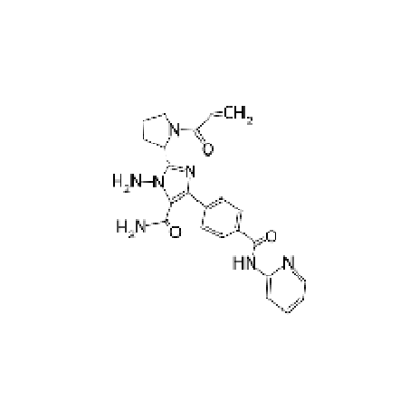 C=CC(=O)N1CCC[C@H]1c1nc(-c2ccc(C(=O)Nc3ccccn3)cc2)c(C(N)=O)n1N